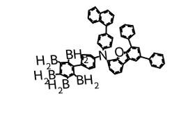 Bc1c(B)c(B)c(-c2ccc(N(c3ccc(-c4cccc5ccccc45)cc3)c3cccc4c3oc3c(-c5ccccc5)cc(-c5ccccc5)cc34)cc2)c(B)c1B